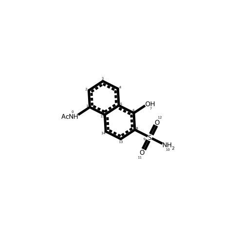 CC(=O)Nc1cccc2c(O)c(S(N)(=O)=O)ccc12